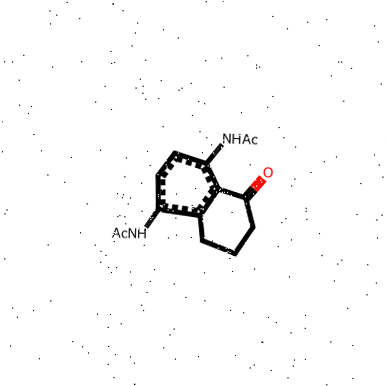 CC(=O)Nc1ccc(NC(C)=O)c2c1CCCC2=O